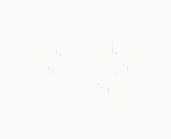 Cc1nc(-c2ccc3c(c2)CC2(C(=O)NC(=O)NC2=O)[C@H]2[C@H](C)O[C@H](C)CN32)no1